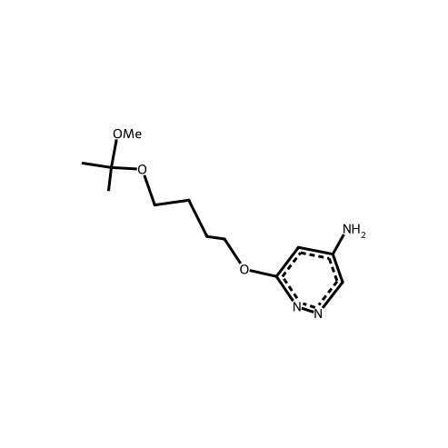 COC(C)(C)OCCCCOc1cc(N)cnn1